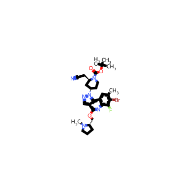 Cc1cc2c(nc(OC[C@@H]3CCCN3C)c3cnn([C@H]4CCN(C(=O)OC(C)(C)C)[C@H](CC#N)C4)c32)c(F)c1Br